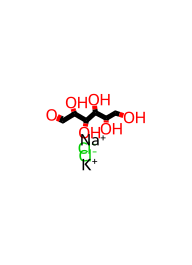 O=CC(O)C(O)C(O)C(O)CO.[Cl-].[Cl-].[K+].[Na+]